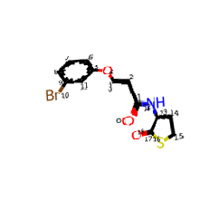 O=C(CCOc1cccc(Br)c1)NC1CCSC1=O